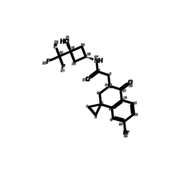 O=C(CN1CC2(CC2)c2cc(Br)ccc2C1=O)N[C@H]1C[C@@](O)(C(F)(F)F)C1